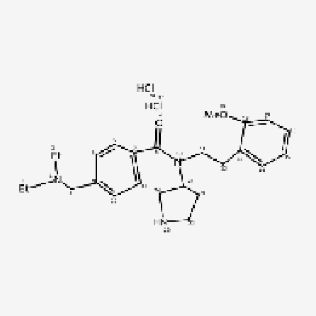 CCN(CC)Cc1ccc(C(=O)N(CCc2ccccc2OC)C2CCNC2)cc1.Cl.Cl